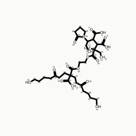 CCC(C(C(=O)O)C(C(=O)O)C(C)(CC)C(=O)OCCOC(=O)C(CCC(=O)CCCCO)(CCC(=O)CCCCO)C(C)=O)N1CCCC1=O